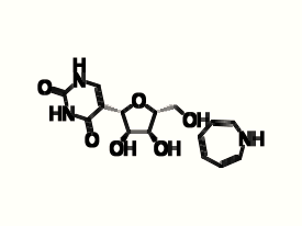 C1=CC=CNC=C1.O=c1[nH]cc([C@@H]2O[C@H](CO)[C@@H](O)[C@H]2O)c(=O)[nH]1